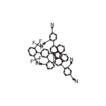 N#Cc1ccc(-c2ccc3c(c2)c2ccccc2n3-c2ccc(-c3c(C(F)(F)F)cccc3C(F)(F)F)cc2-c2c(C#N)cccc2-n2c3ccccc3c3cc(-c4ccc(C#N)cc4C#N)ccc32)c(C#N)c1